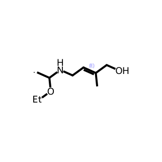 [CH2]C(NC/C=C(\C)CO)OCC